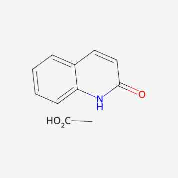 CC(=O)O.O=c1ccc2ccccc2[nH]1